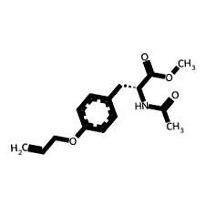 C=CCOc1ccc(C[C@@H](NC(C)=O)C(=O)OC)cc1